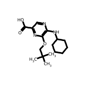 CC(C)(C)COc1nc(C(=O)O)cnc1NC1CCCCC1